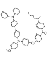 CCCCC(C)c1ccc(C(=O)c2ccc(Oc3ccc(N(c4ccc(O)cc4)c4ccc(-c5ccc(N(c6ccccc6)c6ccccc6)cc5)cc4)cc3)cc2)cc1